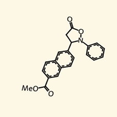 COC(=O)c1ccc2cc(C3CC(=O)ON3c3ccccc3)ccc2c1